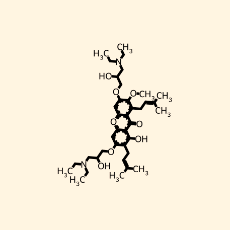 CCN(CC)CC(O)COc1cc2oc3cc(OCC(O)CN(CC)CC)c(OC)c(CC=C(C)C)c3c(=O)c2c(O)c1CC=C(C)C